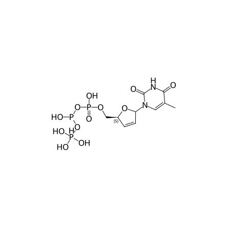 Cc1cn(C2C=C[C@@H](COP(=O)(O)OP(O)O[PH](O)(O)O)O2)c(=O)[nH]c1=O